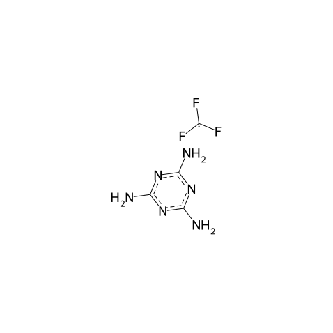 F[C](F)F.Nc1nc(N)nc(N)n1